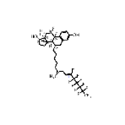 CN(C/C=C(\F)C(F)(F)C(F)(F)C(F)(F)C(F)(F)C(F)(F)F)CCCCC[C@@H]1Cc2cc(O)ccc2[C@@H]2[C@@H]1[C@@H]1CC[C@H](O)[C@@]1(C)C[C@@H]2F